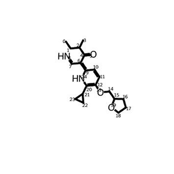 CCC(C)C(=O)/C(C=N)=C1\C=CC(OCC2CCCO2)=C(C2CC2)N1